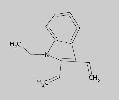 C=Cc1c(C=C)n(CC)c2c1=C=C=CC=2